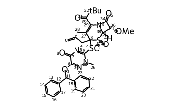 C=CCC1(Sc2nc(=O)c(OC(c3ccccc3)c3ccccc3)nn2C)C(C)=C(C(=O)C(C)(C)C)N2C(=O)[C@H](OC)[C@@H]2S1(=O)=O